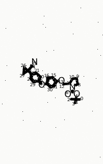 CC(C)(C)OC(=O)N1CCCC1COc1ccc(Oc2ccc(C3(C#N)CC3)cc2)cc1